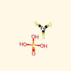 O=P(O)(O)O.[S]=[Fe](=[S])=[S]